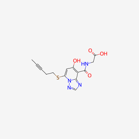 CC#CCCSc1cc(O)c(C(=O)NCC(=O)O)c2ncnn12